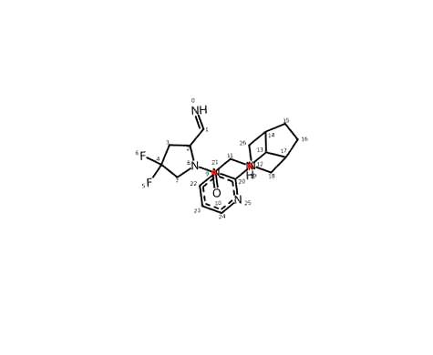 N=CC1CC(F)(F)CN1C(=O)CNC1C2CCC1CN(c1ncccn1)C2